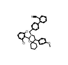 COc1ccc(C2CN(Cc3ccc(-c4ccccc4C#N)cc3)C(c3c(Cl)cccc3Cl)OC23CCCCC3)cc1